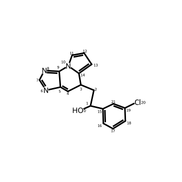 OC(CC1C=C2N=CN=C2n2cccc21)c1cccc(Cl)c1